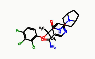 CC(C)(Oc1ccc(F)c(Cl)c1Cl)C(=O)NC1CC2CCC(C1)N2c1ccc(C(N)=O)cn1